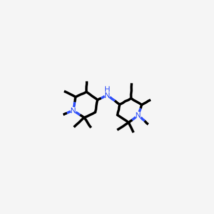 CC1C(NC2CC(C)(C)N(C)C(C)C2C)CC(C)(C)N(C)C1C